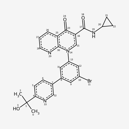 CC(C)(O)c1ccc(-c2cc(Br)cc(-n3cc(C(=O)NC4CC4)c(=O)c4cccnc43)c2)cn1